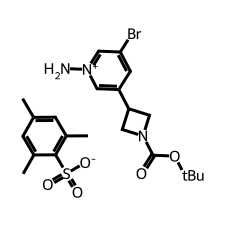 CC(C)(C)OC(=O)N1CC(c2cc(Br)c[n+](N)c2)C1.Cc1cc(C)c(S(=O)(=O)[O-])c(C)c1